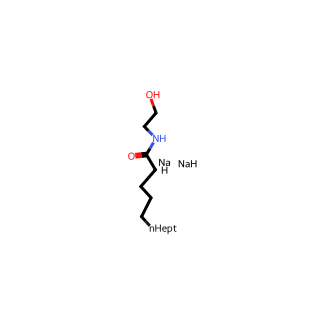 CCCCCCCCCCCC(=O)NCCO.[NaH].[NaH]